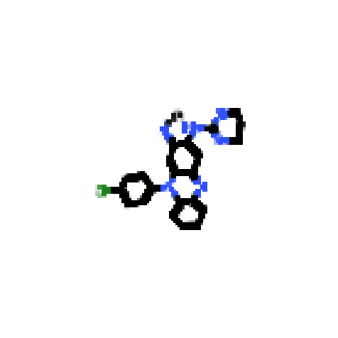 CCCN=c1cc2n(-c3ccc(Cl)cc3)c3ccccc3nc-2cc1Nc1ncccn1